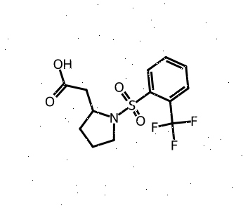 O=C(O)CC1CCCN1S(=O)(=O)c1ccccc1C(F)(F)F